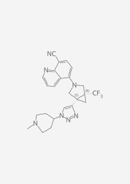 CN1CCC(n2cc([C@]34CN(c5ccc(C#N)c6ncccc56)C[C@@]3(C(F)(F)F)C4)nn2)CC1